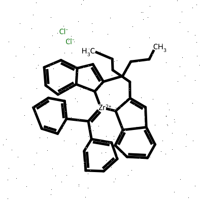 CCCCC1=Cc2ccccc2[CH]1[Zr+2](=[C](c1ccccc1)c1ccccc1)[CH]1C(CCCC)=Cc2ccccc21.[Cl-].[Cl-]